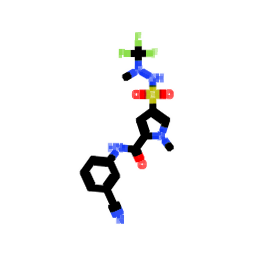 CN(NS(=O)(=O)c1cc(C(=O)Nc2cccc(C#N)c2)n(C)c1)C(F)(F)F